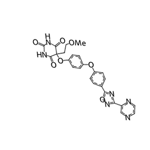 COCCC1(Oc2ccc(Oc3ccc(-c4nc(-c5cnccn5)no4)cc3)cc2)C(=O)NC(=O)NC1=O